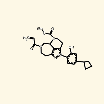 C=CC(=O)N1CCc2nn(-c3ccc(C4CCC4)cc3O)c3c2C(C1)N(C(=O)OC(C)(C)C)CC3